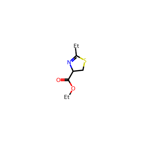 CCOC(=O)C1CSC(CC)=N1